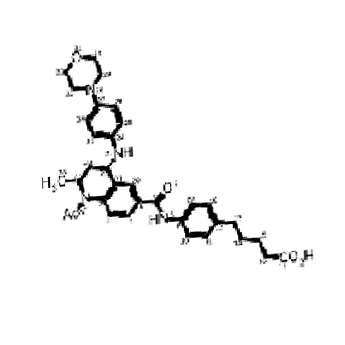 CC(=O)N1c2ccc(C(=O)Nc3ccc(CCCCC(=O)O)cc3)cc2[C@H](Nc2ccc(N3CCOCC3)cc2)C[C@@H]1C